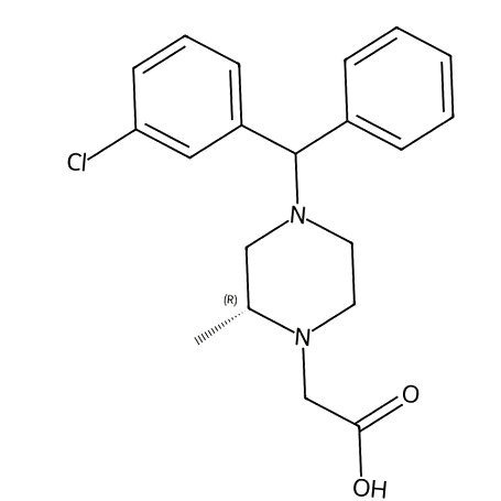 C[C@@H]1CN(C(c2ccccc2)c2cccc(Cl)c2)CCN1CC(=O)O